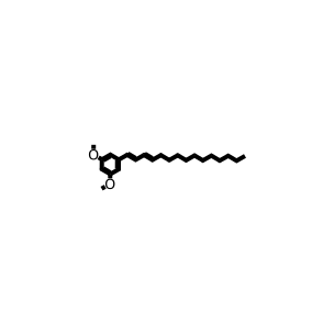 CCCCCCCCCCCC=CC=Cc1cc(OC)cc(OC)c1